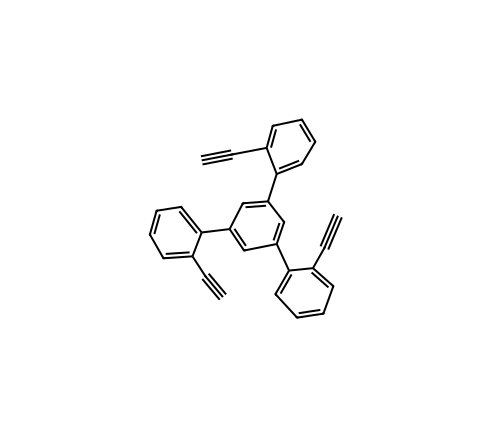 C#Cc1ccccc1-c1cc(-c2ccccc2C#C)cc(-c2ccccc2C#C)c1